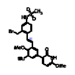 COc1ccc(-c2cc(/C=C/c3ccc(NS(C)(=O)=O)cc3CBr)c(OC)c(C(C)(C)C)c2)c(=O)[nH]1